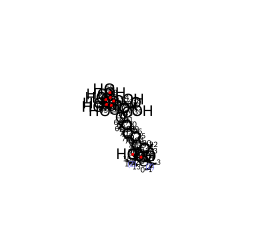 C/C=C(/C)C(=O)O[C@H]1[C@H](OC(=O)/C(C)=C\C)[C@@]2(CO)C(CC1(C)C)C1=CCC3[C@@]4(C)CC[C@H](O[C@@H]5OC(C(=O)O)[C@@H](O)C(OC6O[C@@H](CO)[C@@H](O)C6O)[C@@H]5O[C@@H]5OC(CO)[C@H](O)C(O)[C@@H]5O)C(C)(C)C4CC[C@@]3(C)[C@]1(C)C[C@H]2O